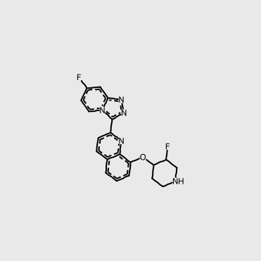 Fc1ccn2c(-c3ccc4cccc(OC5CCNCC5F)c4n3)nnc2c1